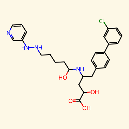 O=C(O)C(O)CC(Cc1ccc(-c2cccc(Cl)c2)cc1)NC(O)CCCCNNc1cccnc1